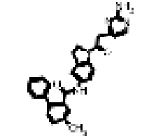 Cc1ccc(-c2ccccc2)c(C(=O)Nc2ccc3c(c2)CCN3C(=O)Cc2ccnc(N)n2)c1